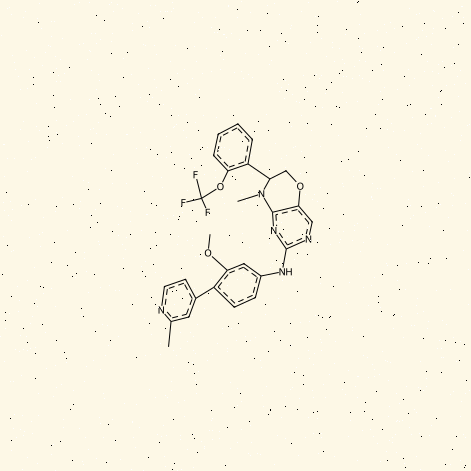 COc1cc(Nc2ncc3c(n2)N(C)C(c2ccccc2OC(F)(F)F)CO3)ccc1-c1ccnc(C)c1